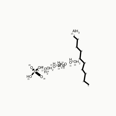 CCCCCCCCCC.O.O.O.O.O.O.O.O.O=S(=O)(O)O.[AlH3]